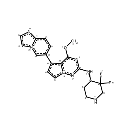 COc1nc(N[C@@H]2CCNCC2(F)F)nn2ccc(-c3ccc4ncnn4c3)c12